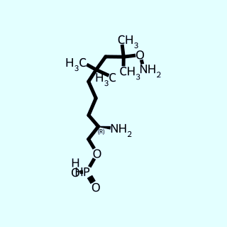 CC(C)(CCC[C@@H](N)CO[PH](=O)O)CC(C)(C)ON